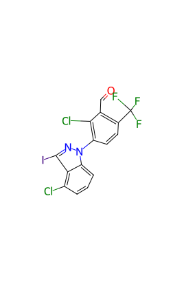 O=Cc1c(C(F)(F)F)ccc(-n2nc(I)c3c(Cl)cccc32)c1Cl